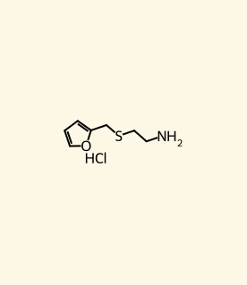 Cl.NCCSCc1ccco1